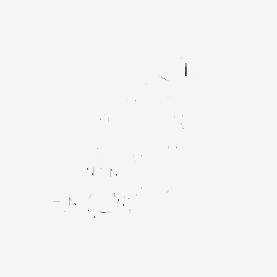 CCOC(=O)c1ccc(OCC(O)CSc2nc3c(N)ncnc3n2[C@@H]2O[C@H](COC(=O)C(C)C)[C@@H](OC(=O)C(C)C)[C@H]2OC(=O)C(C)C)cc1